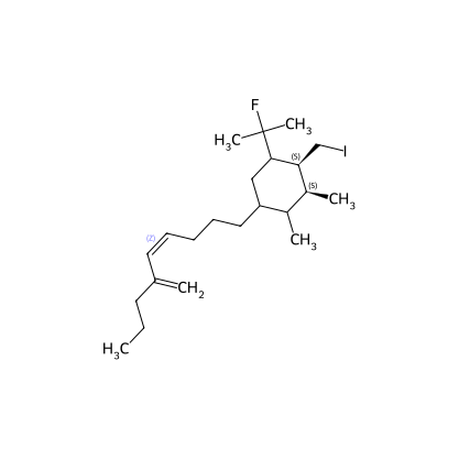 C=C(/C=C\CCCC1CC(C(C)(C)F)[C@@H](CI)[C@@H](C)C1C)CCC